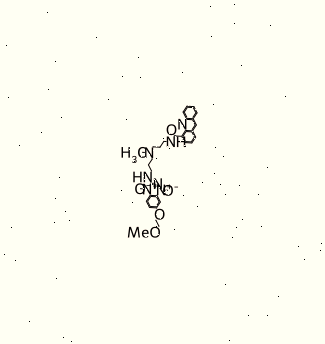 COCCOc1ccc2c(c1)[n+]([O-])nc(NCCCN(C)CCCNC(=O)c1cccc3cc4ccccc4nc13)[n+]2[O-]